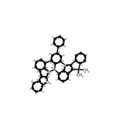 CC1(C)c2ccccc2-c2c1c1cccc3c1n2-c1cc(-c2ccccc2)cc2c1B3n1c3oc4ccccc4c3c3cccc-2c31